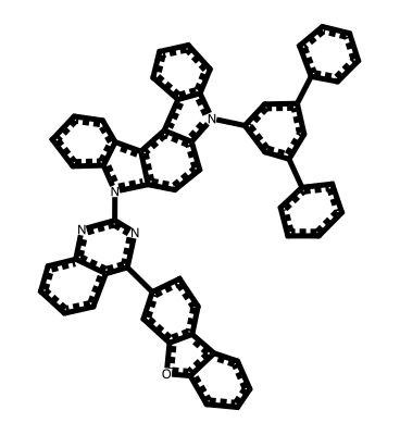 c1ccc(-c2cc(-c3ccccc3)cc(-n3c4ccccc4c4c5c6ccccc6n(-c6nc(-c7ccc8c(c7)oc7ccccc78)c7ccccc7n6)c5ccc43)c2)cc1